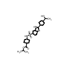 CC(C)OC(=O)c1ccc(NS(=O)(=O)c2ccc3nc(-c4ccc(C(C)O)cc4)[nH]c3c2)cc1